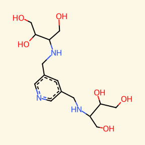 OCC(O)C(CO)NCc1cncc(CNC(CO)C(O)CO)c1